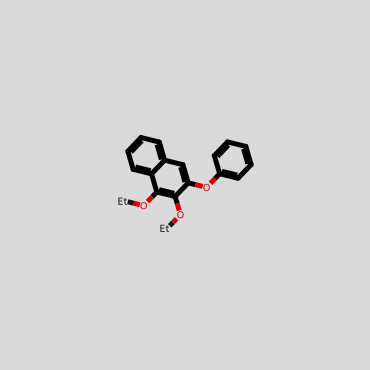 CCOc1c(Oc2ccccc2)cc2ccccc2c1OCC